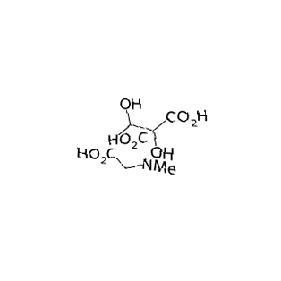 CNCC(=O)O.O=C(O)C(O)C(O)C(=O)O